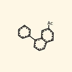 CC(=O)c1ccc2cccc(-c3ccccc3)c2c1